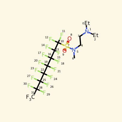 CCN(CC)CCN(C)S(=O)(=O)C(F)(F)C(F)(F)C(F)(F)C(F)(F)C(F)(F)C(F)(F)C(F)(F)C(F)(F)F